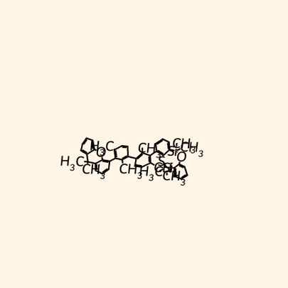 Cc1ccc(-c2ccc(C)c(-c3cccc4c3S[Si](C)(C)c3ccccc3O[Si]4(C)C)c2C)c(C)c1-c1cccc2c1Oc1ccccc1C2(C)C